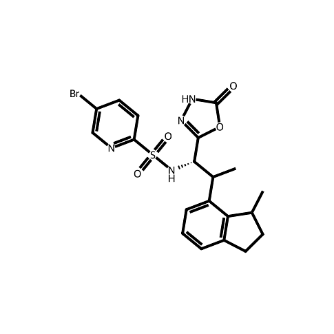 CC1CCc2cccc(C(C)[C@H](NS(=O)(=O)c3ccc(Br)cn3)c3n[nH]c(=O)o3)c21